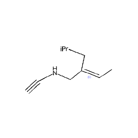 C#CNC/C(=C/C)CC(C)C